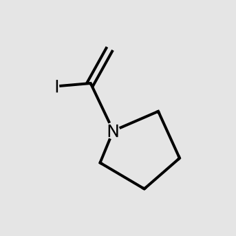 C=C(I)N1CCCC1